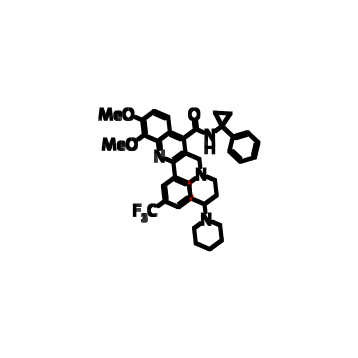 COc1ccc2c(C(=O)NC3(c4ccccc4)CC3)c(CN3CCC(N4CCCCC4)CC3)c(-c3cccc(C(F)(F)F)c3)nc2c1OC